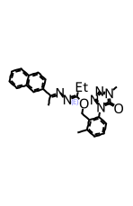 CC/C(=N\N=C(C)c1ccc2ccccc2c1)OCc1c(C)cccc1-n1nnn(C)c1=O